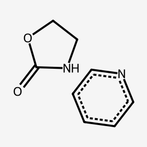 O=C1NCCO1.c1ccncc1